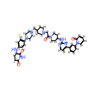 O=C1CCC(Nc2ccc(N3CCN(CC4CCN(CC(=O)N5CCC(Nc6ncc(F)c(-c7cccc(-n8ccccc8=O)c7)n6)CC5)CC4)CC3)c(F)c2)C(=O)N1